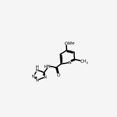 COc1cc(C)nc(C(=O)Nc2nnn[nH]2)c1